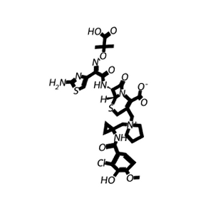 COc1ccc(C(=O)NC2(C[N+]3(CC4=C(C(=O)[O-])N5C(=O)[C@@H](NC(=O)/C(=N\OC(C)(C)C(=O)O)c6csc(N)n6)[C@H]5SC4)CCCC3)CC2)c(Cl)c1O